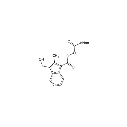 CCCCCCCCCC(=O)OOC(=O)n1c(C)c(CO)c2ccccc21